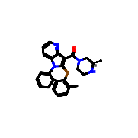 Cc1cccc(C)c1Sc1c(C(=O)N2CCN[C@@H](C)C2)c2ncccc2n1C1=CC=CCC1